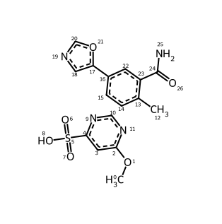 COc1cc(S(=O)(=O)O)ncn1.Cc1ccc(-c2cnco2)cc1C(N)=O